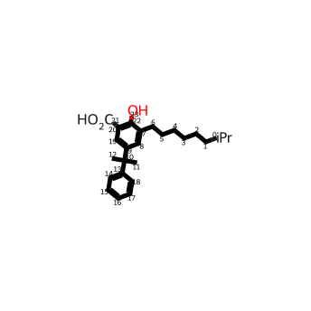 CC(C)CCCCCCc1cc(C(C)(C)c2ccccc2)cc(C(=O)O)c1O